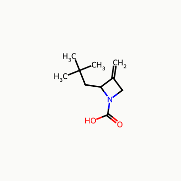 C=C1CN(C(=O)O)C1CC(C)(C)C